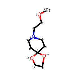 CCOCCN1CCC2(CC1)OCCO2